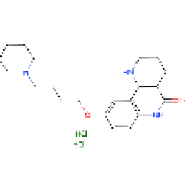 Cl.Cl.O=c1[nH]c2ccc(OCCCCN3CCCCC3)cc2c2c1CCCN2